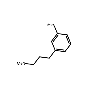 CCCCCCc1cccc(CCCNC)c1